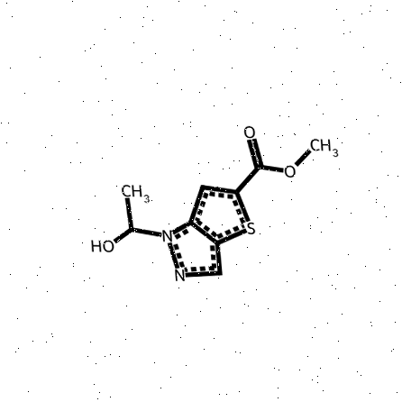 COC(=O)c1cc2c(cnn2C(C)O)s1